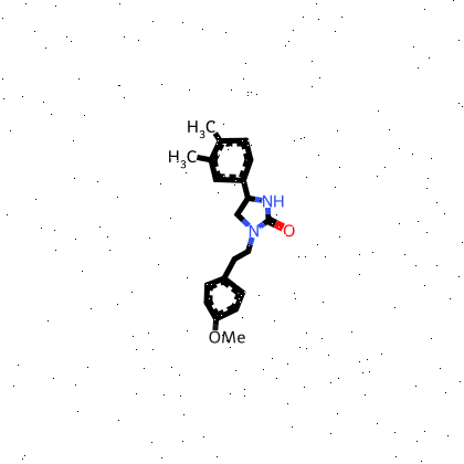 COc1ccc(CCN2CC(c3ccc(C)c(C)c3)NC2=O)cc1